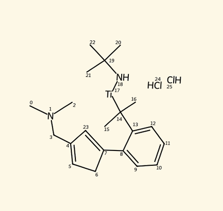 CN(C)CC1=CCC(c2ccccc2[C](C)(C)[Ti][NH]C(C)(C)C)=C1.Cl.Cl